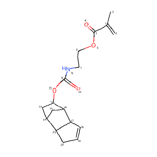 C=C(C)C(=O)OCCNC(=O)OC1CC2CC1C1C=CCC21